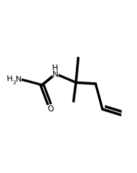 C=CCC(C)(C)NC(N)=O